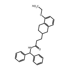 O=C(O)COc1cccc2c1CCC(CCC(=O)NC(c1ccccc1)c1ccccc1)C2